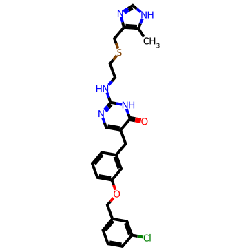 Cc1[nH]cnc1CSCCNc1ncc(Cc2cccc(OCc3cccc(Cl)c3)c2)c(=O)[nH]1